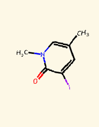 Cc1cc(I)c(=O)n(C)c1